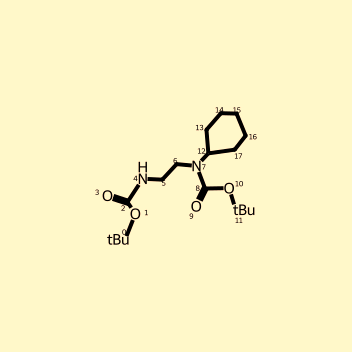 CC(C)(C)OC(=O)NCCN(C(=O)OC(C)(C)C)C1CCCCC1